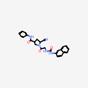 N#CC1CC(C(=O)Nc2ccccc2)CN1C(=O)CNC(=O)Nc1ccc2ccccc2c1